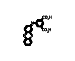 O=C(O)c1cc(N=c2ccc3nc4ccccc4sc-3c2)cc(C(=O)O)c1